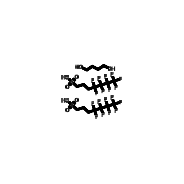 O=S(=O)(O)CCCC(F)(F)C(F)(F)C(F)(F)C(F)(F)F.O=S(=O)(O)CCCC(F)(F)C(F)(F)C(F)(F)C(F)(F)F.OCCCCO